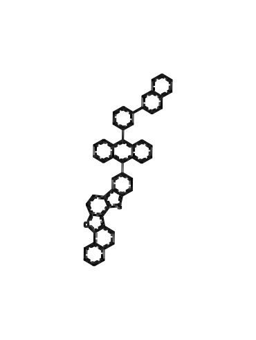 c1cc(-c2ccc3ccccc3c2)cc(-c2c3ccccc3c(-c3ccc4sc5c(ccc6oc7c8ccccc8ccc7c65)c4c3)c3ccccc23)c1